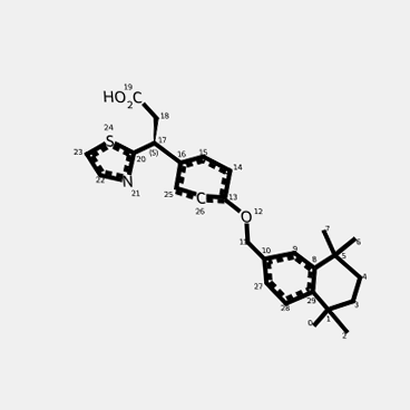 CC1(C)CCC(C)(C)c2cc(COc3ccc([C@H](CC(=O)O)c4nccs4)cc3)ccc21